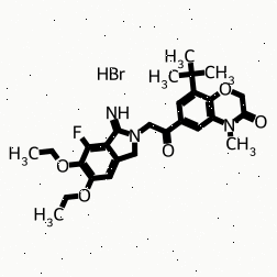 Br.CCOc1cc2c(c(F)c1OCC)C(=N)N(CC(=O)c1cc3c(c(C(C)(C)C)c1)OCC(=O)N3C)C2